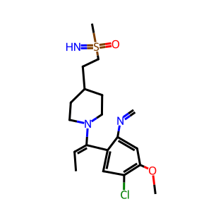 C=Nc1cc(OC)c(Cl)cc1/C(=C\C)N1CCC(CCS(C)(=N)=O)CC1